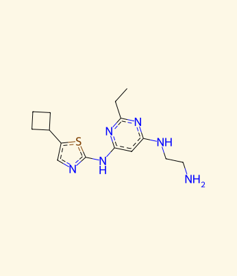 CCc1nc(NCCN)cc(Nc2ncc(C3CCC3)s2)n1